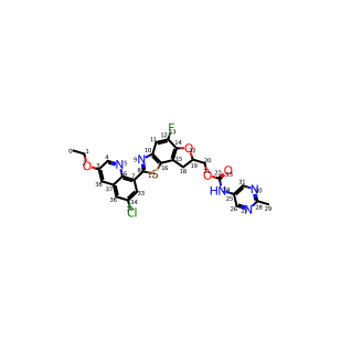 CCOc1cnc2c(-c3nc4cc(F)c5c(c4s3)CC(COC(=O)Nc3cnc(C)nc3)O5)cc(Cl)cc2c1